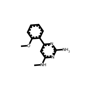 CNc1cc(-c2ccccc2OC)nc(N)n1